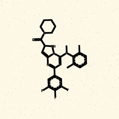 Cc1cccc(C)c1N(C)C1=CC(c2cc(F)c(F)c(F)c2)=NC2=CC(C(=O)N3CCCCC3)NN21